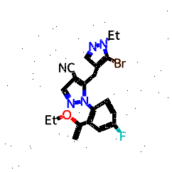 C=C(OCC)c1cc(F)ccc1-n1ncc(C#N)c1Cc1cnn(CC)c1Br